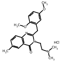 COc1ccc(OC)c(Cc2nc3ccc(C)cc3c(=O)n2CCN(C)C)c1.Cl